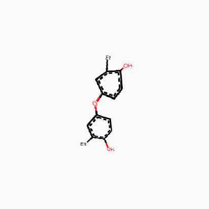 CCc1cc(Oc2ccc(O)c(CC)c2)ccc1O